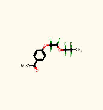 COC(=O)c1ccc(OC(F)(F)C(F)OC(F)(F)C(F)(F)C(F)(F)F)cc1